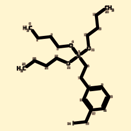 CCCCO[Si](CCc1cccc(CI)c1)(OCCCC)OCCCC